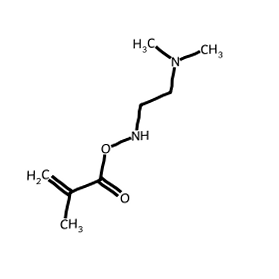 C=C(C)C(=O)ONCCN(C)C